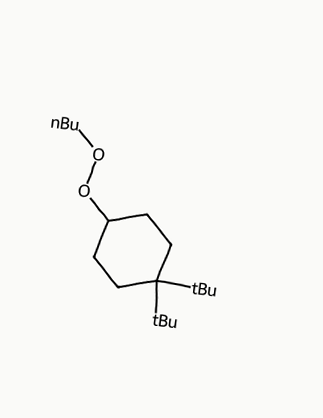 CCCCOOC1CCC(C(C)(C)C)(C(C)(C)C)CC1